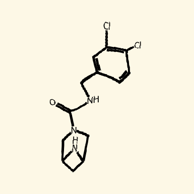 O=C(NCc1ccc(Cl)c(Cl)c1)N1CC2CC(C1)N2